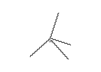 CCCCCCCCCCCCCCCCCC[PH](CCCCCCCCCCCCCC)(CCCCCCCCCCCCCCCCCC)CCCCCCCCCCCCCCCCCC